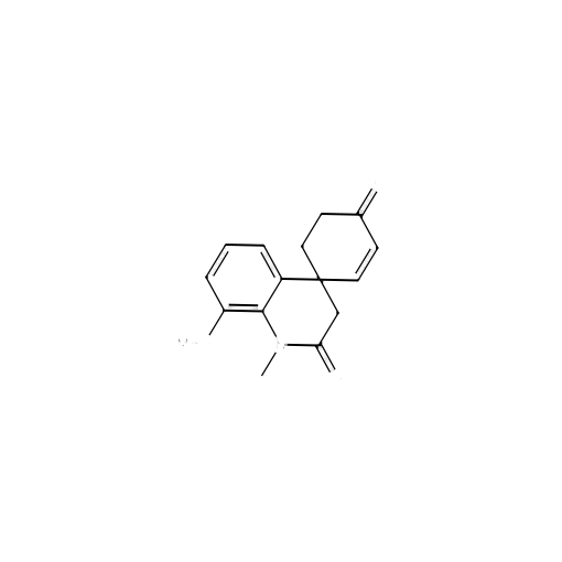 COc1cccc2c1N(C)C(=O)CC21C=CC(=O)CC1